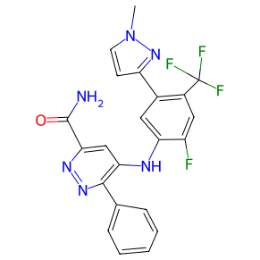 Cn1ccc(-c2cc(Nc3cc(C(N)=O)nnc3-c3ccccc3)c(F)cc2C(F)(F)F)n1